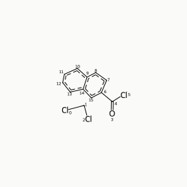 ClCCl.O=C(Cl)c1ccc2ccccc2c1